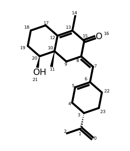 C=C(C)[C@@H]1CC=C(/C=C2\C[C@@]3(C)C(=C(C)C2=O)CCC[C@@H]3O)CC1